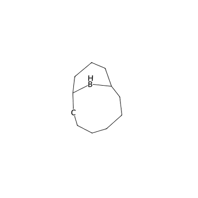 B1C2CCCCCCC1CCC2